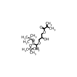 C=C(C)C(=O)OCC(O)COC(CC)[SiH](O[Si](C)(C)C)O[Si](C)(C)C